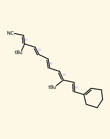 CC(C)(C)C(=C\C#N)/C=C/C=C/C=C(/C=C/C1=CCCCC1)C(C)(C)C